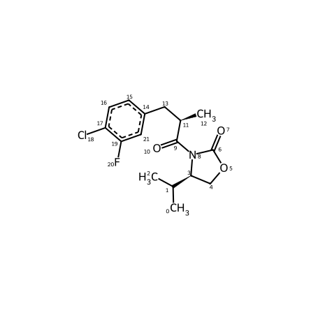 CC(C)[C@@H]1COC(=O)N1C(=O)[C@H](C)Cc1ccc(Cl)c(F)c1